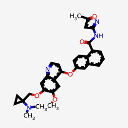 COc1cc2c(Oc3ccc4c(C(=O)Nc5cc(C)on5)cccc4c3)ccnc2cc1OCC1(N(C)C)CC1